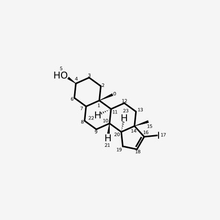 C[C@]12CC[C@H](O)CC1CC[C@@H]1[C@@H]2CC[C@]2(C)C(I)=CC[C@@H]12